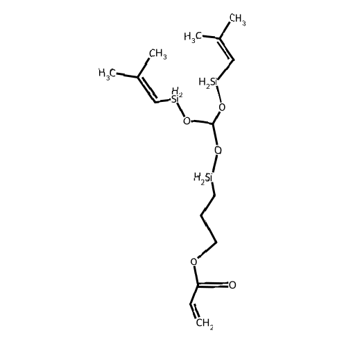 C=CC(=O)OCCC[SiH2]OC(O[SiH2]C=C(C)C)O[SiH2]C=C(C)C